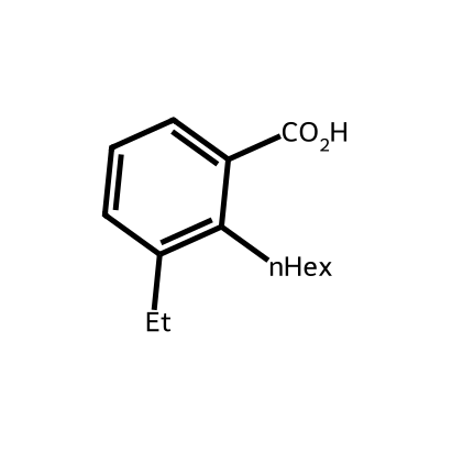 CCCCCCc1c(CC)cccc1C(=O)O